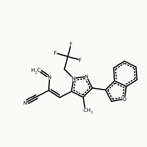 C=N/C(C#N)=C\c1c(C)c(-c2coc3ccccc23)nn1CC(F)(F)F